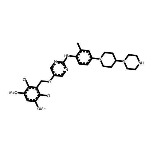 COc1cc(OC)c(Cl)c(COc2cnc(Nc3ccc(N4CCC(N5CCNCC5)CC4)cc3C)nc2)c1Cl